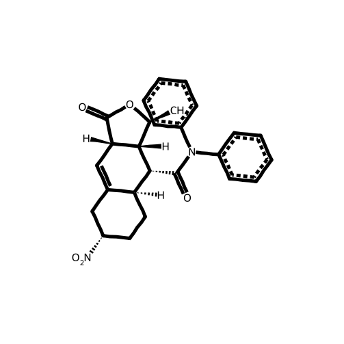 C[C@@H]1OC(=O)[C@H]2C=C3C[C@@H]([N+](=O)[O-])CC[C@@H]3[C@@H](C(=O)N(c3ccccc3)c3ccccc3)[C@@H]12